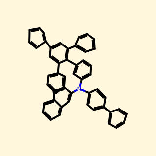 c1ccc(-c2ccc(N(c3cccc(-c4c(-c5ccccc5)cc(-c5ccccc5)cc4-c4ccccc4)c3)c3ccc4ccccc4c3)cc2)cc1